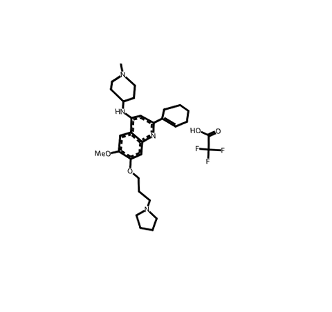 COc1cc2c(NC3CCN(C)CC3)cc(C3=CCCCC3)nc2cc1OCCCN1CCCC1.O=C(O)C(F)(F)F